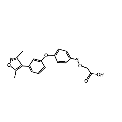 Cc1noc(C)c1-c1cccc(Oc2ccc(SOCC(=O)O)cc2)c1